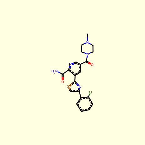 CN1CCN(C(=O)c2cnc(C(N)=O)c(-c3nc(-c4ccccc4Cl)cs3)c2)CC1